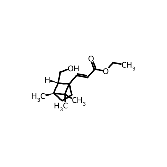 CCOC(=O)/C=C/C12CC[C@](C)([C@@H]1CO)C2(C)C